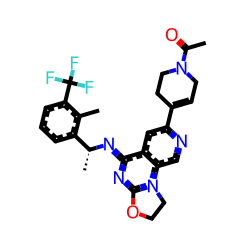 CC(=O)N1CC=C(c2cc3/c(=N/[C@H](C)c4cccc(C(F)(F)F)c4C)nc4n(c3cn2)CCO4)CC1